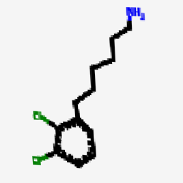 NCCCCCCc1cccc(Cl)c1Cl